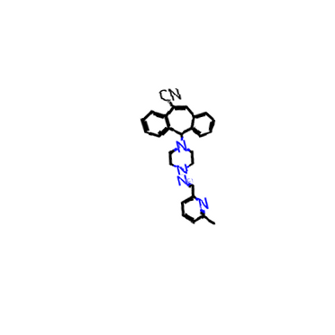 Cc1cccc(/C=N/N2CCN(C3c4ccccc4C=C(C#N)c4ccccc43)CC2)n1